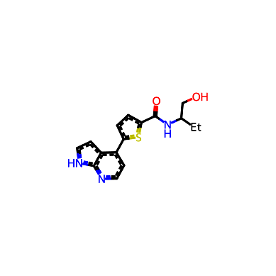 CCC(CO)NC(=O)c1ccc(-c2ccnc3[nH]ccc23)s1